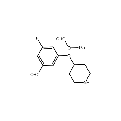 CC(C)(C)OC=O.O=Cc1cc(F)cc(OC2CCNCC2)c1